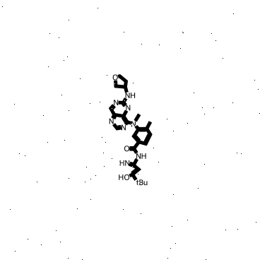 Cc1ccc(C(=O)NC(=N)/C=C(\O)C(C)(C)C)cc1N(C)c1ncnc2cnc(NC3CCOC3)nc12